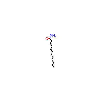 CCCCCCC=CCCCC(N)=O